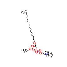 CCCCCCCCCCCCCCCCCCOCC(COP(=O)([O-])OCC[N+](C)(C)C)OC(=O)OCC